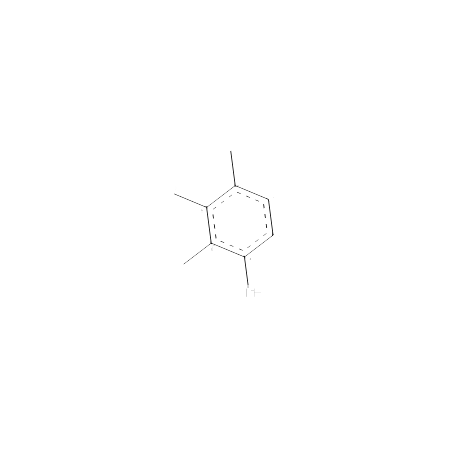 Cc1ccc(P)c(C)c1C